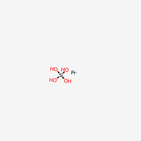 O[Si](O)(O)O.[Pr]